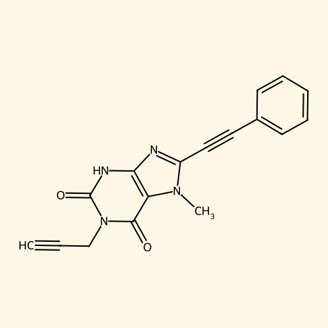 C#CCn1c(=O)[nH]c2nc(C#Cc3ccccc3)n(C)c2c1=O